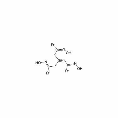 CCC(C[SiH](CC(CC)=NO)CC(CC)=NO)=NO